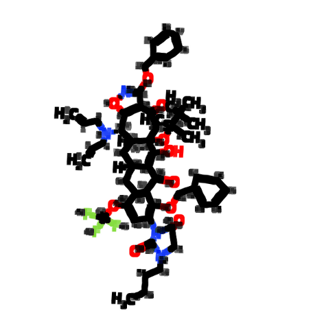 C=CCN(CC=C)[C@@H]1c2onc(OCc3ccccc3)c2C(=O)CC2(O[Si](C)(C)C(C)(C)C)C(O)=C3C(=O)c4c(c(OC(F)(F)F)cc(N5C(=O)CN(CCCC)C5=O)c4OCc4ccccc4)C[C@H]3C[C@@H]12